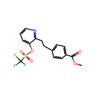 COC(=O)c1ccc(CCc2ncccc2OS(=O)(=O)C(F)(F)F)cc1